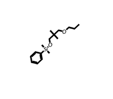 CCCOCC(C)(C)CO[Si](C)(C)c1ccccc1